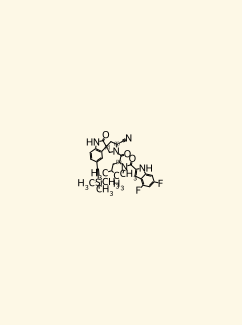 CC(C)C[C@@H](C(=O)N1C[C@]2(C[C@H]1C#N)C(=O)Nc1ccc(C#C[Si](C)(C)C)cc12)N(C)C(=O)c1cc2c(F)cc(F)cc2[nH]1